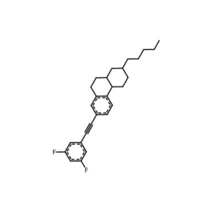 CCCCCC1CCC2c3ccc(C#Cc4cc(F)cc(F)c4)cc3CCC2C1